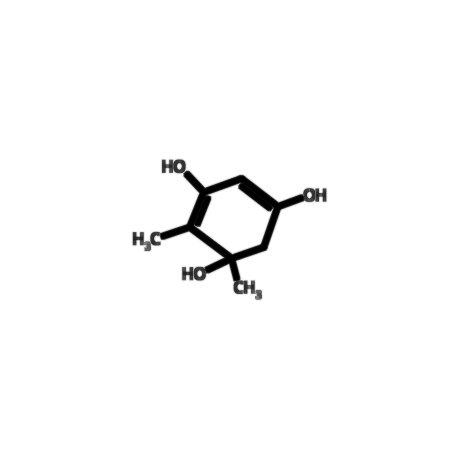 CC1=C(O)C=C(O)CC1(C)O